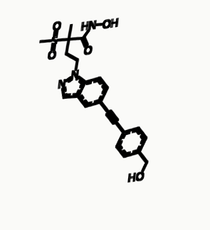 CC(CCn1ncc2cc(C#Cc3ccc(CO)cc3)ccc21)(C(=O)NO)S(C)(=O)=O